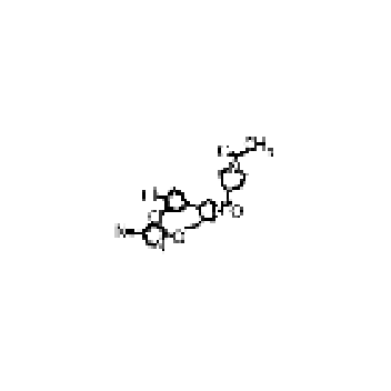 CCC(=O)N1CCC(C(=O)N2CC(CCOc3ccc(C#N)cn3)C(c3ccc(Cl)c(Cl)c3)C2)CC1